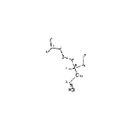 CCC(C)(CCCC(C)C)OC=O